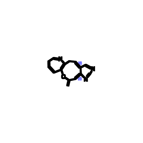 C=C1/C=c2/ncnc/c2=C/CC2=C(C=C=CC=N2)O1